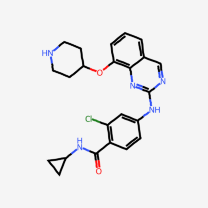 O=C(NC1CC1)c1ccc(Nc2ncc3cccc(OC4CCNCC4)c3n2)cc1Cl